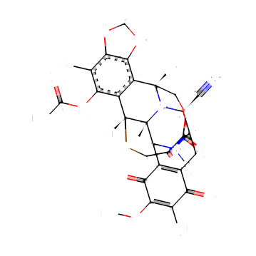 COC1=C(C)C(=O)C2=C(C1=O)C1[C@@H]3[C@@H]4SCC(=O)C(=O)OC[C@@H](c5c6c(c(C)c(OC(C)=O)c54)OCO6)N3[C@@H](C#N)C(C2)N1C